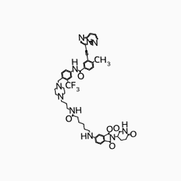 Cc1ccc(C(=O)Nc2ccc(CN3CCN(CCCNC(=O)CCCCCNc4ccc5c(c4)C(=O)N(C4CCC(=O)NC4=O)C5=O)CC3)c(C(F)(F)F)c2)cc1C#Cc1cnc2cccnn12